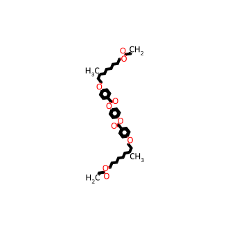 C=CC(=O)OCCCCCCC(C)CCOc1ccc(C(=O)Oc2ccc(OC(=O)c3ccc(OCCC(C)CCCCCCOC(=O)C=C)cc3)cc2)cc1